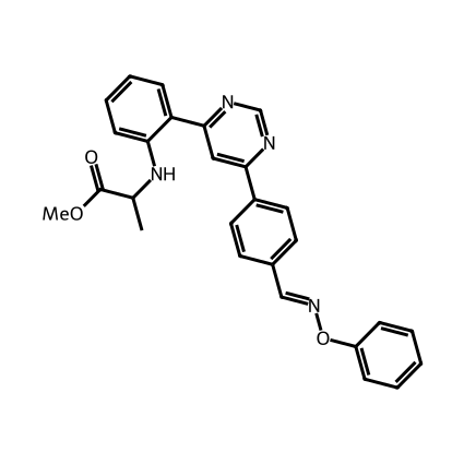 COC(=O)C(C)Nc1ccccc1-c1cc(-c2ccc(/C=N/Oc3ccccc3)cc2)ncn1